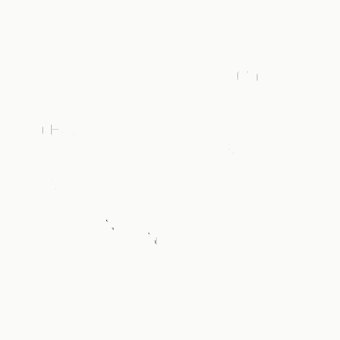 CCCCCCOc1ccc(-c2ccccc2OCC(C)CC)nn1